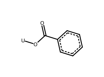 O=C([O][U])c1ccccc1